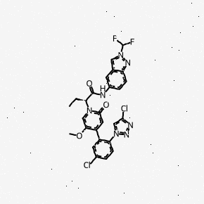 CC[C@@H](C(=O)Nc1ccc2nn(C(F)F)cc2c1)n1cc(OC)c(-c2cc(Cl)ccc2-n2cc(Cl)nn2)cc1=O